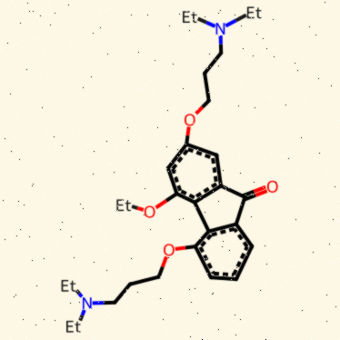 CCOc1cc(OCCCN(CC)CC)cc2c1-c1c(OCCCN(CC)CC)cccc1C2=O